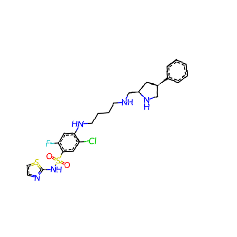 O=S(=O)(Nc1nccs1)c1cc(Cl)c(NCCCCNC[C@H]2C[C@@H](c3ccccc3)CN2)cc1F